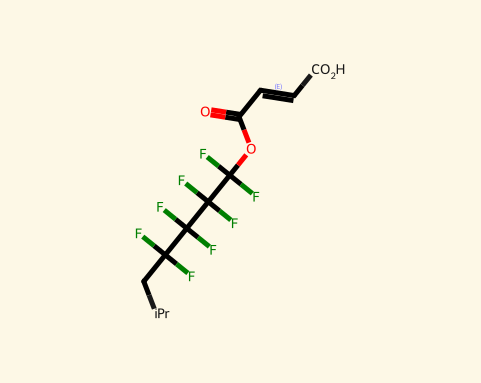 CC(C)CC(F)(F)C(F)(F)C(F)(F)C(F)(F)OC(=O)/C=C/C(=O)O